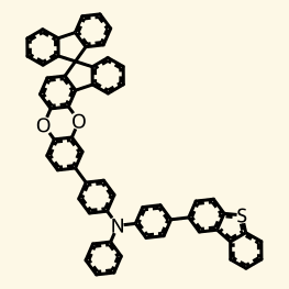 c1ccc(N(c2ccc(-c3ccc4c(c3)Oc3c(ccc5c3-c3ccccc3C53c5ccccc5-c5ccccc53)O4)cc2)c2ccc(-c3ccc4sc5ccccc5c4c3)cc2)cc1